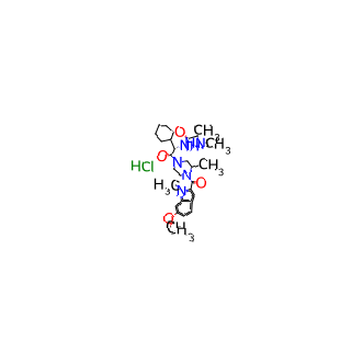 CNC(C)C(=O)N[C@H](C(=O)N1CCN(C(=O)c2cc3ccc(OC)cc3n2C)C(C)C1)C1CCCCC1.Cl